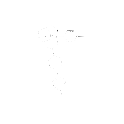 O=C(CC1(c2ccc(Cl)cc2)C2CC3CC(C2)CC1C3)N1CCN(c2ccc(Cl)cc2)CC1